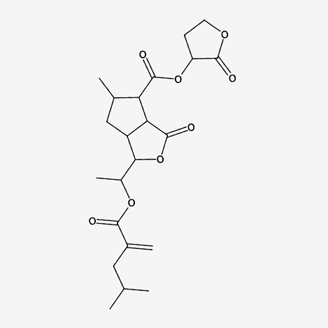 C=C(CC(C)C)C(=O)OC(C)C1OC(=O)C2C1CC(C)C2C(=O)OC1CCOC1=O